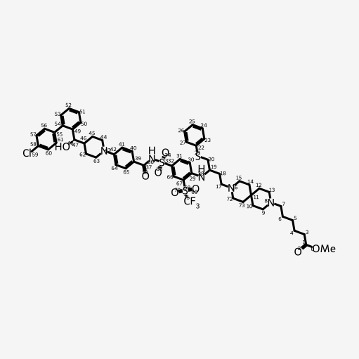 COC(=O)CCCCCN1CCC2(CC1)CCN(CCC(CSc1ccccc1)Nc1ccc(S(=O)(=O)NC(=O)c3ccc(N4CCC([C@@H](O)c5ccccc5-c5ccc(Cl)cc5)CC4)cc3)cc1S(=O)(=O)C(F)(F)F)CC2